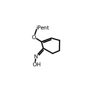 CCCC(C)OC1=CCCCC1=NO